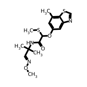 CON=CC(C)(C)NC(=O)C(Oc1cc(C)c2scnc2c1)SC